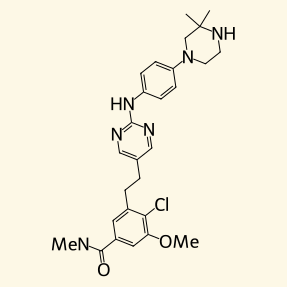 CNC(=O)c1cc(CCc2cnc(Nc3ccc(N4CCNC(C)(C)C4)cc3)nc2)c(Cl)c(OC)c1